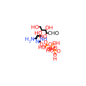 Nc1cc[nH]c(=O)n1.O=CC(O)C(O)C(O)CO.O=P(O)(O)OP(=O)(O)OP(=O)(O)O